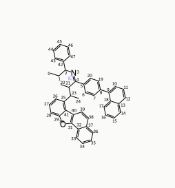 CCC(/N=C(/c1ccc(-c2cccc3ccccc23)cc1)C(C)C(C)c1cccc2oc3c4ccccc4ccc3c12)c1ccccc1